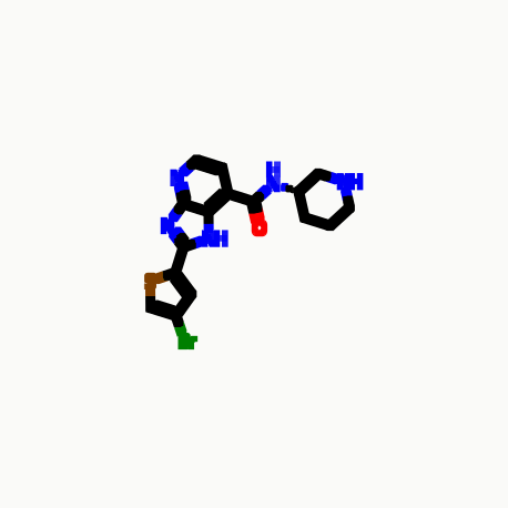 O=C(N[C@H]1CCCNC1)c1ccnc2nc(-c3cc(Br)cs3)[nH]c12